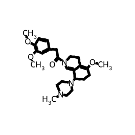 COC1=C2CCN(C(=O)Cc3ccc(OC)c(OC)c3)C=C2C(N2CCN(C)CC2)CC1